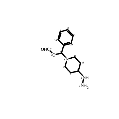 NNC1CCN(C(OC=O)c2ccccc2)CC1